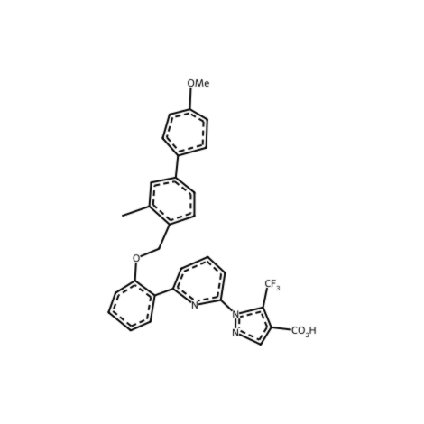 COc1ccc(-c2ccc(COc3ccccc3-c3cccc(-n4ncc(C(=O)O)c4C(F)(F)F)n3)c(C)c2)cc1